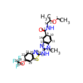 CCOC(C)CNC(=O)c1ccc2c(c1)nc(Nc1nc3ccc(OC(F)(F)F)cc3s1)n2C